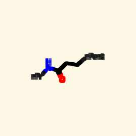 [CH2]CCCCCCC(=O)NCCC